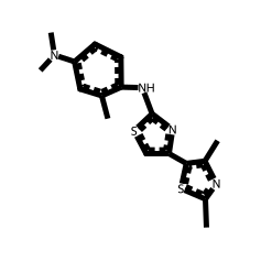 Cc1nc(C)c(-c2csc(Nc3ccc(N(C)C)cc3C)n2)s1